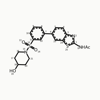 CC(=O)Nc1nc2ccc(-c3cccc(S(=O)(=O)N4CCC(O)CC4)c3)cc2s1